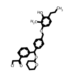 CCCc1ccc(OCc2ccc(C(OC3CCCCO3)c3cccc(C(=O)CCl)c3)cc2)c(C)c1O